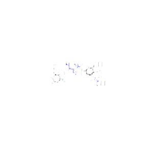 C=N/C(OCc1c(Cl)cccc1Cl)=C(N)\N=C/Cc1cc(C)c2c(c1)CN(C)CC2